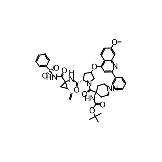 C=C[C@@H]1C[C@]1(NC(=O)[C@@H]1C[C@@H](Oc2cc(-c3ccccc3)nc3cc(OC)ccc23)CN1C(=O)C1(NC(=O)OC(C)(C)C)CCNCC1)C(=O)NS(=O)(=O)c1ccccc1